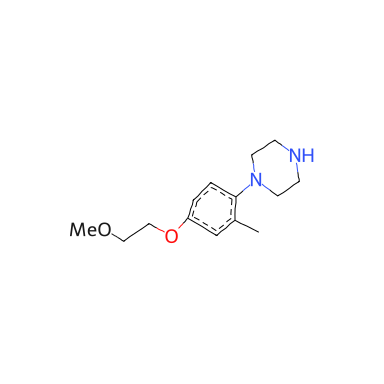 COCCOc1ccc(N2CCNCC2)c(C)c1